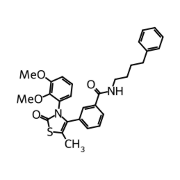 COc1cccc(-n2c(-c3cccc(C(=O)NCCCCc4ccccc4)c3)c(C)sc2=O)c1OC